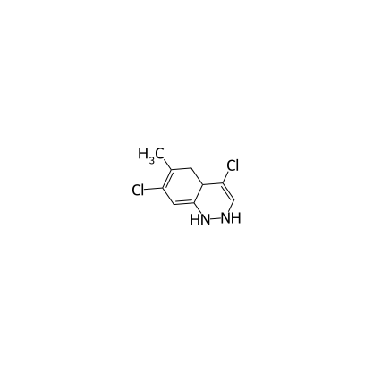 CC1=C(Cl)C=C2NNC=C(Cl)C2C1